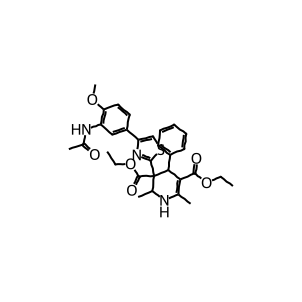 CCOC(=O)C1=C(C)NC(C)C(C(=O)OCC)(c2nc(-c3ccc(OC)c(NC(C)=O)c3)cs2)C1c1ccccc1